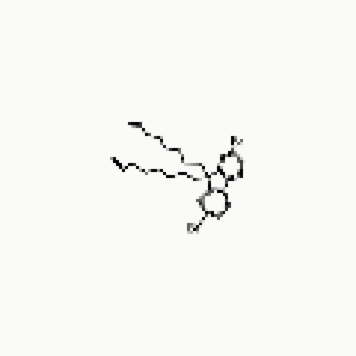 C=CCCCCCCC1(CCCCCCC=C)c2cc(Br)ccc2-c2ccc(Br)cc21